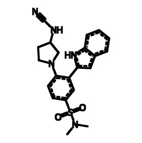 CN(C)S(=O)(=O)c1ccc(N2CCC(NC#N)C2)c(-c2cc3ccccc3[nH]2)c1